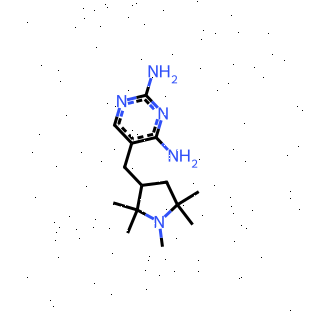 CN1C(C)(C)CC(Cc2cnc(N)nc2N)C1(C)C